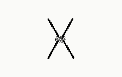 CCCCCCCCCCCCCCCCCC(=O)NC(NC(=O)CCCCCCCCCCCCCCCCC)OC(NC(=O)CCCCCCCCCCCCCCCCC)NC(=O)CCCCCCCCCCCCCCCCC